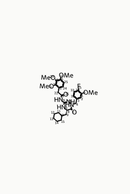 COc1cc(CNC(=O)[C@@H](CC2CCCCC2)NC(=N)NC(=O)Cc2ccc(OC)c(OC)c2OC)ccc1F